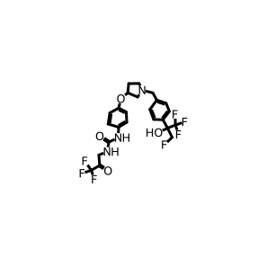 O=C(NCC(=O)C(F)(F)F)Nc1ccc(OC2CCN(Cc3ccc(C(O)(CF)C(F)(F)F)cc3)C2)cc1